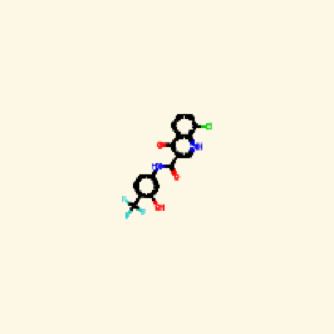 O=C(Nc1ccc(C(F)(F)F)c(O)c1)c1c[nH]c2c(Cl)cccc2c1=O